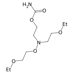 CCOCCON(CCOCC)CCOC(N)=O